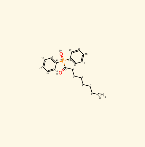 CCCCCCCC(=O)P(=O)(c1ccccc1)c1ccccc1